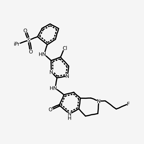 CC(C)S(=O)(=O)c1ccccc1Nc1nc(Nc2cc3c([nH]c2=O)CCN(CCF)C3)ncc1Cl